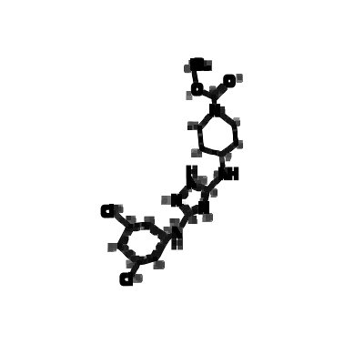 CC(C)(C)OC(=O)N1CCC(Nc2nc(Nc3cc(Cl)cc(Cl)c3)n[nH]2)CC1